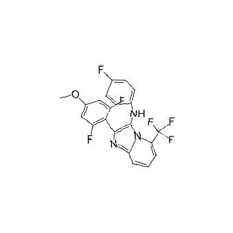 COc1cc(F)c(-c2nc3cccc(C(F)(F)F)n3c2Nc2ccc(F)cc2)c(F)c1